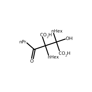 CCCCCCC(O)(C(=O)O)C(CCCCCC)(C(=O)O)C(=O)CCC